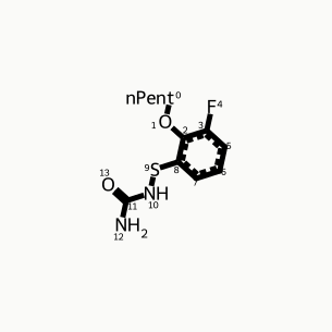 CCCCCOc1c(F)cccc1SNC(N)=O